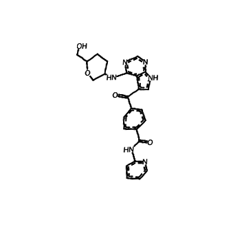 O=C(Nc1ccccn1)c1ccc(C(=O)c2c[nH]c3ncnc(NC4CCC(CO)OC4)c23)cc1